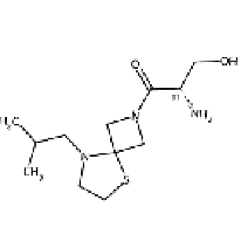 CC(C)CN1CCSC12CN(C(=O)[C@@H](N)CO)C2